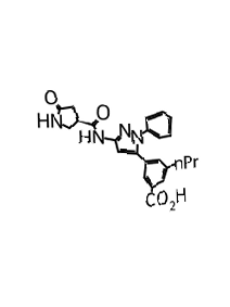 CCCc1cc(C(=O)O)cc(-c2cc(NC(=O)[C@H]3CNC(=O)C3)nn2-c2ccccc2)c1